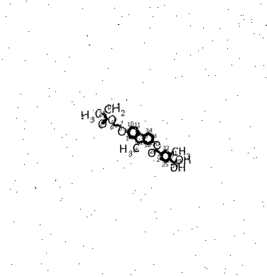 C=C(C)C(=O)OCCOc1ccc2c(c1)C(C)c1cc(OC(=O)c3ccc(C(O)O)c(C)c3)ccc1-2